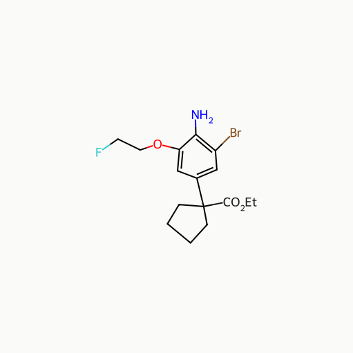 CCOC(=O)C1(c2cc(Br)c(N)c(OCCF)c2)CCCC1